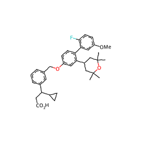 COc1ccc(F)c(-c2ccc(OCc3cccc(C(CC(=O)O)C4CC4)c3)cc2C2CC(C)(C)OC(C)(C)C2)c1